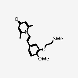 COc1ccc(C=Cn2c(C)cc(=O)cc2C)cc1OCCSC